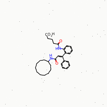 O=C(O)CCCC(=O)Nc1ccccc1C(=CC(=O)NC1CCCCCCCCCC1)c1ccccc1